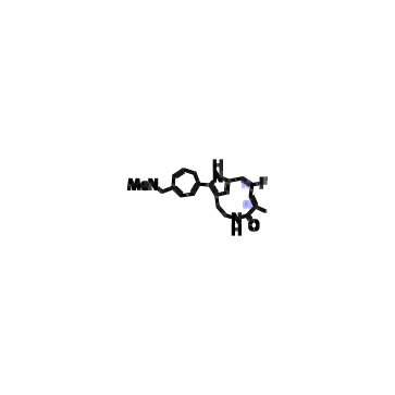 CNCC1=CC=C(c2[nH]c3cc2CCNC(=O)/C(C)=C/C(F)=C\3)CC=C1